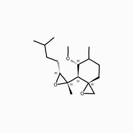 CO[C@@H]1C(C)CC[C@]2(CO2)[C@H]1[C@]1(C)O[C@@H]1CCC(C)C